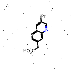 CC(C)c1cnc2cc(CC(=O)O)ccc2c1